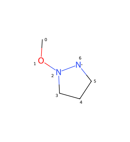 CON1CCC[N]1